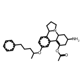 CC(=O)OC1=C2c3cc(OC(C)CCCc4ccccc4)ccc3C3CCCN3C2CC(N)C1